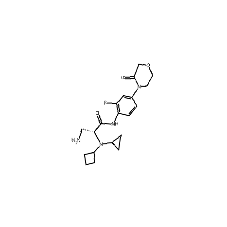 NC[C@H](C(=O)Nc1ccc(N2CCOCC2=O)cc1F)N(C1CCC1)C1CC1